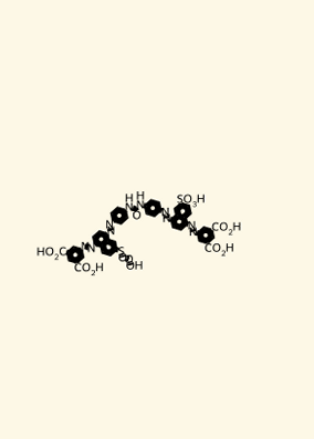 O=C(Nc1ccc(N=Nc2ccc(N=Nc3cc(C(=O)O)cc(C(=O)O)c3)c3ccc(SOOO)cc23)cc1)Nc1ccc(N=Nc2ccc(N=Nc3cc(C(=O)O)cc(C(=O)O)c3)c3ccc(S(=O)(=O)O)cc23)cc1